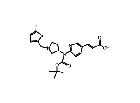 Cc1ccc(CN2CC[C@@H](N(C(=O)OC(C)(C)C)c3ccc(C=CC(=O)O)cn3)C2)s1